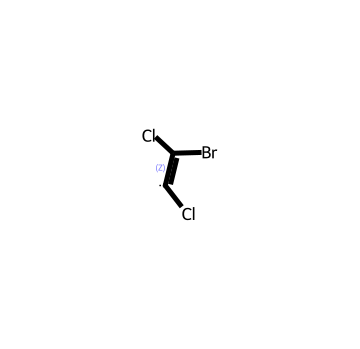 Cl/[C]=C(/Cl)Br